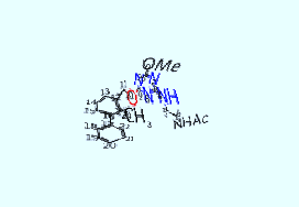 COc1nc(NCCNC(C)=O)nc(OCc2cccc(-c3ccccc3)c2C)n1